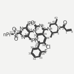 C=CC(=O)N1CC(C)N(c2nc(=O)n(-c3c(C(C)C)nc(S(=O)(=O)CCC)nc3C(C)C)c3nc(-c4ccccc4F)c(Cl)cc23)CC1C